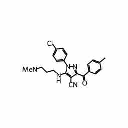 CNCCCNc1c(C#N)c(C(=O)c2ccc(C)cc2)nn1-c1ccc(Cl)cc1